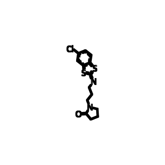 O=C1CCCN1CCC/N=c1/sc2ccc(Cl)cc2s1